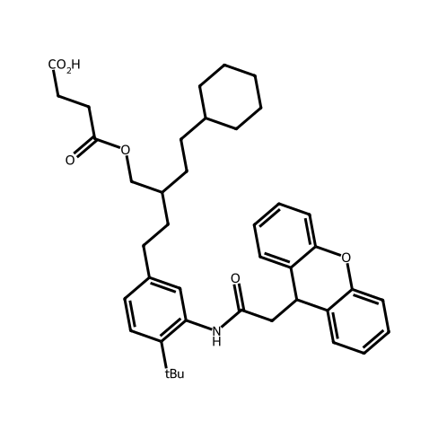 CC(C)(C)c1ccc(CCC(CCC2CCCCC2)COC(=O)CCC(=O)O)cc1NC(=O)CC1c2ccccc2Oc2ccccc21